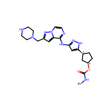 CC(C)NC(=O)O[C@@H]1CC[C@H](c2cc(Nc3nccn4nc(CN5CCNCC5)cc34)n[nH]2)C1